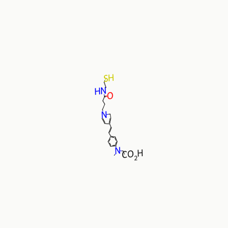 CN(CC(=O)O)c1ccc(/C=C/C2=CCN(CCCC(=O)NCCS)C=C2)cc1